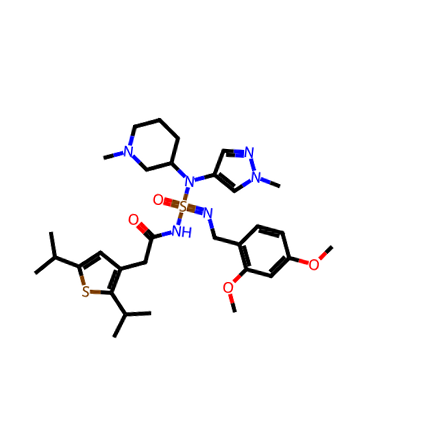 COc1ccc(CN=S(=O)(NC(=O)Cc2cc(C(C)C)sc2C(C)C)N(c2cnn(C)c2)C2CCCN(C)C2)c(OC)c1